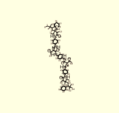 CCC(C)(C)C(CC(CC)(CC)C(C)C(=O)Nc1ccc(N/N=C(/C(C)=O)C(=O)Nc2ccc(NC(=O)/C(=N\Nc3ccc(NC(=O)C(C)C(C)(CC)CC(c4ccccc4)C(C)(C)C)cc3)C(C)=O)cc2)cc1)c1ccccc1